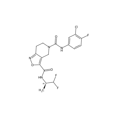 C[C@@H](NC(=O)c1onc2c1CN(C(=O)Nc1ccc(F)c(Cl)c1)CC2)C(F)F